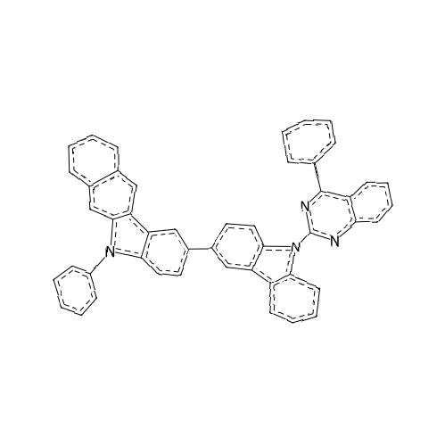 c1ccc(-c2nc(-n3c4ccccc4c4cc(-c5ccc6c(c5)c5cc7ccccc7cc5n6-c5ccccc5)ccc43)nc3ccccc23)cc1